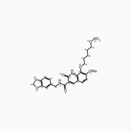 COc1ccc2cc(C(=O)NCc3ccc4c(c3)OCO4)c(=O)[nH]c2c1OCCCCCO[N+](=O)[O-]